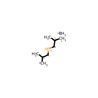 B.CC(C)CPCC(C)C